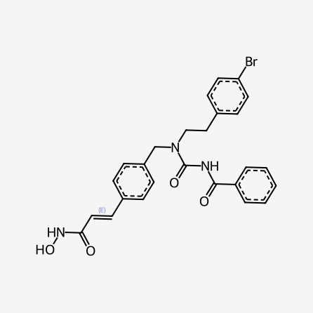 O=C(/C=C/c1ccc(CN(CCc2ccc(Br)cc2)C(=O)NC(=O)c2ccccc2)cc1)NO